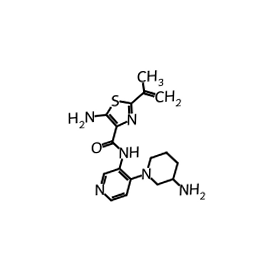 C=C(C)c1nc(C(=O)Nc2cnccc2N2CCCC(N)C2)c(N)s1